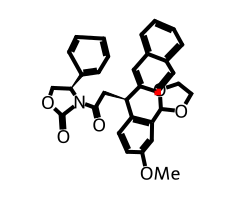 COc1ccc([C@@H](CC(=O)N2C(=O)OC[C@H]2c2ccccc2)c2ccc3ccccc3c2)c(C2OCCO2)c1